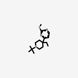 CCC1(c2ccnc(SC)n2)CCN(C(C)(C)C)CC1